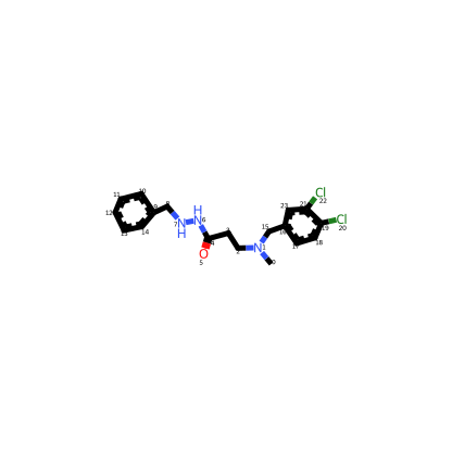 CN(CCC(=O)NNCc1ccccc1)Cc1ccc(Cl)c(Cl)c1